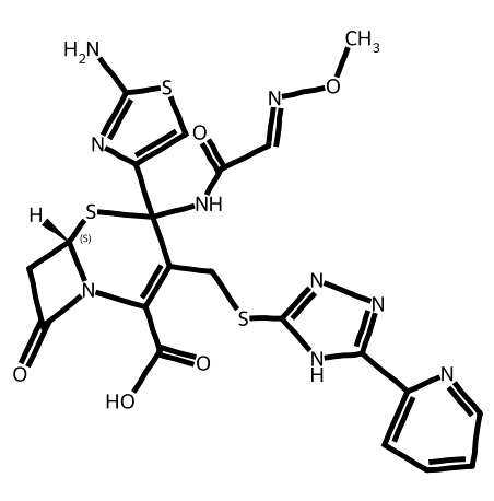 CON=CC(=O)NC1(c2csc(N)n2)S[C@H]2CC(=O)N2C(C(=O)O)=C1CSc1nnc(-c2ccccn2)[nH]1